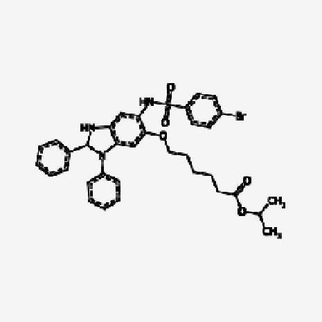 CC(C)OC(=O)CCCCCOc1cc2c(cc1NS(=O)(=O)c1ccc(Br)cc1)NC(c1ccccc1)N2c1ccccc1